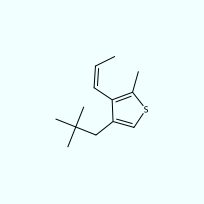 C/C=C\c1c(CC(C)(C)C)csc1C